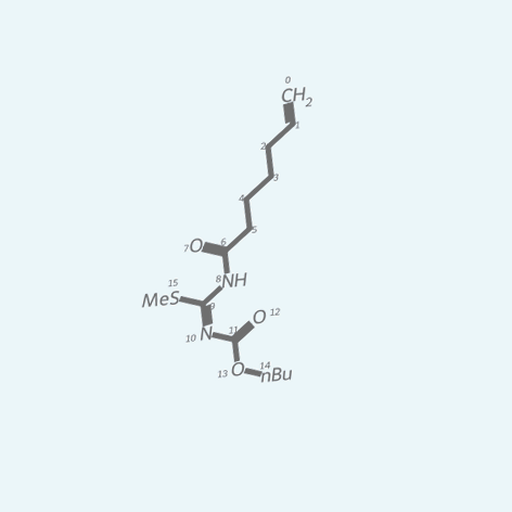 C=CCCCCC(=O)NC(=NC(=O)OCCCC)SC